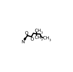 CCCC(C)(C)CC(=O)C(=O)C#N